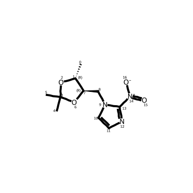 C[C@H]1OC(C)(C)O[C@@H]1Cn1ccnc1[N+](=O)[O-]